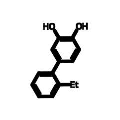 [CH2]Cc1ccccc1-c1ccc(O)c(O)c1